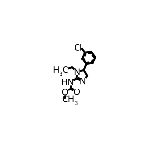 CCN1C(NC(=O)OC)=NCC1c1cccc(Cl)c1